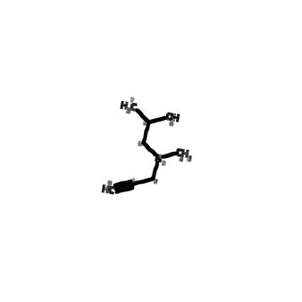 C#CCN(C)CC(C)O